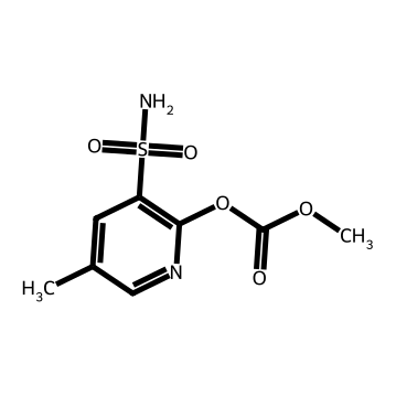 COC(=O)Oc1ncc(C)cc1S(N)(=O)=O